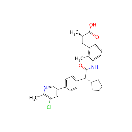 Cc1ncc(-c2ccc([C@H](C(=O)Nc3cccc(C[C@@H](C)C(=O)O)c3C)C3CCCC3)cc2)cc1Cl